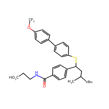 CCCCC(C)CC(Sc1ccc(-c2ccc(OC(F)(F)F)cc2)cc1)c1ccc(C(=O)NCCC(=O)O)cc1